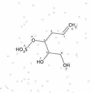 C=CCC(OS(=O)(=O)O)C(O)CO